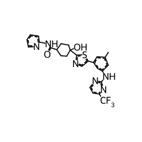 Cc1cc(Nc2nccc(C(F)(F)F)n2)cc(-c2cnc(C3(O)CCC(C(=O)Nc4ccccn4)CC3)s2)c1